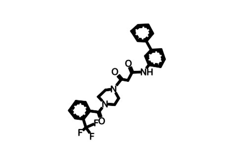 O=C(CC(=O)N1CCN(C(=O)c2ccccc2C(F)(F)F)CC1)Nc1cccc(-c2ccccc2)c1